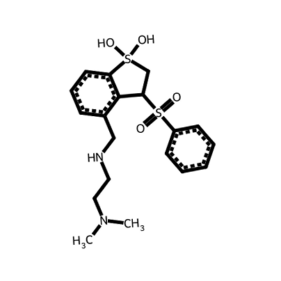 CN(C)CCNCc1cccc2c1C(S(=O)(=O)c1ccccc1)CS2(O)O